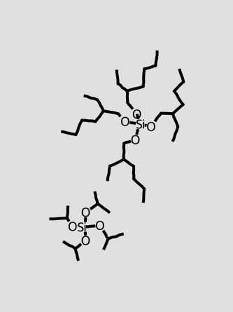 CC(C)O[Si](OC(C)C)(OC(C)C)OC(C)C.CCCCC(CC)CO[Si](OCC(CC)CCCC)(OCC(CC)CCCC)OCC(CC)CCCC